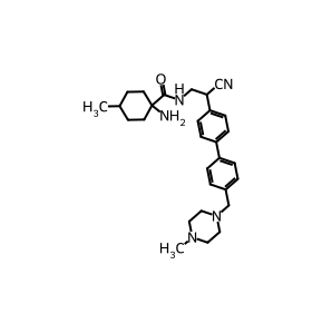 CC1CCC(N)(C(=O)NCC(C#N)c2ccc(-c3ccc(CN4CCN(C)CC4)cc3)cc2)CC1